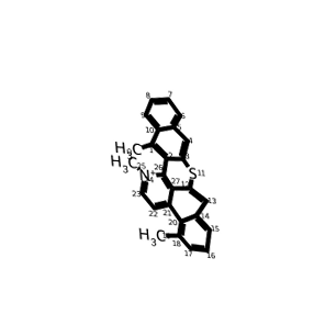 Cc1c2c(cc3ccccc13)Sc1cc3cccc(C)c3c3cc[n+](C)c-2c13